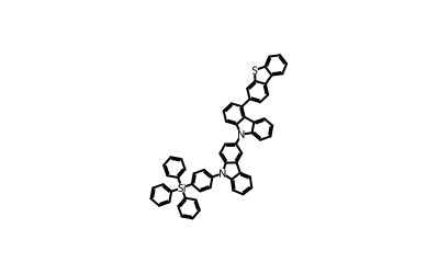 c1ccc([Si](c2ccccc2)(c2ccccc2)c2ccc(-n3c4ccccc4c4cc(-n5c6ccccc6c6c(-c7ccc8c(c7)sc7ccccc78)cccc65)ccc43)cc2)cc1